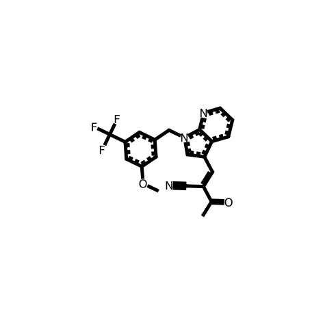 COc1cc(Cn2cc(/C=C(\C#N)C(C)=O)c3cccnc32)cc(C(F)(F)F)c1